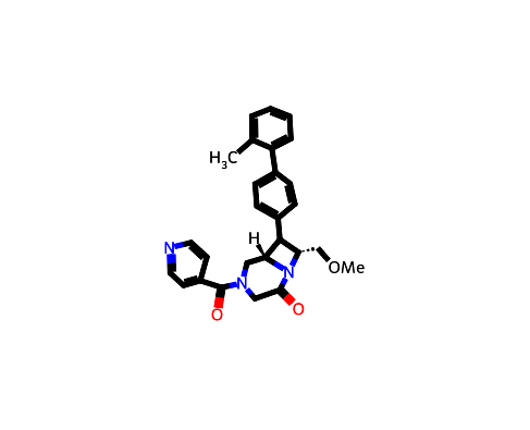 COC[C@H]1C(c2ccc(-c3ccccc3C)cc2)[C@H]2CN(C(=O)c3ccncc3)CC(=O)N21